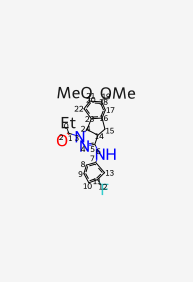 CCC(=O)N1N=C(Nc2cccc(F)c2)C2Cc3cc(OC)c(OC)cc3C21